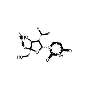 [N-]=[N+]=N[C@]1(CO)O[C@@H](n2ccc(=O)[nH]c2=O)[C@@H](C(F)F)[C@@H]1O